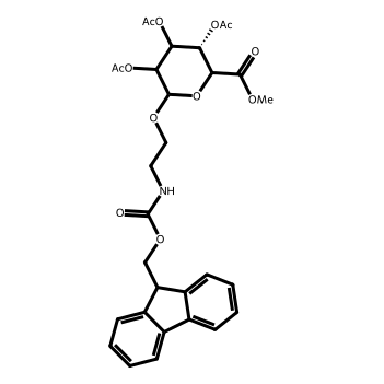 COC(=O)C1OC(OCCNC(=O)OCC2c3ccccc3-c3ccccc32)C(OC(C)=O)C(OC(C)=O)[C@@H]1OC(C)=O